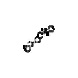 c1cnc2ccc(-c3ccc4cc(-[n+]5nc6ccccc6[nH]5)ccc4c3)cc2c1